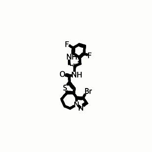 NC[C@H](Cc1cc(F)ccc1F)NC(=O)c1cc2c(s1)CCCn1ncc(Br)c1-2